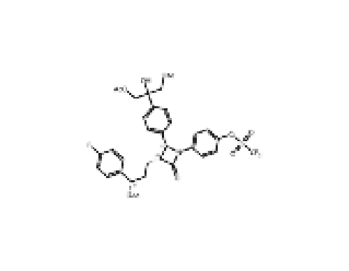 CC(=O)OCC(O)(COC(C)=O)c1ccc([C@@H]2[C@@H](CC[C@H](OC(C)=O)c3ccc(F)cc3)C(=O)N2c2ccc(OS(=O)(=O)C(F)(F)F)cc2)cc1